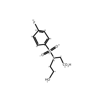 O=C(O)CN(CCO)S(=O)(=O)c1ccc(F)cc1